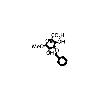 COC1O[C@@H](C(=O)O)[C@@H](O)[C@H](OCc2ccccc2)[C@H]1O